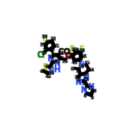 CC1c2cnc(-c3ncccn3)nc2CCN1c1cc(F)c(F)c(OCC2=C(C(=O)O)[C@H](c3ccc(F)cc3Cl)N=C(c3nccs3)N2)c1